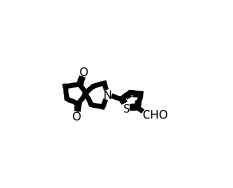 O=Cc1ccc(N2CCC3(CC2)C(=O)CCC3=O)s1